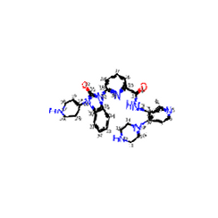 O=C(Nc1cnccc1N1CCNCC1)c1cccc(-n2c(=O)n(C3=CCNCC3)c3ccccc32)n1